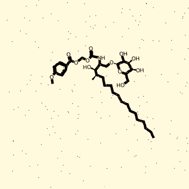 CCCCCCCCCCCCCC[C@@H](C)[C@@H](O)C(CO[C@H]1OC(CO)[C@H](O)[C@H](O)C1O)NC(=O)OCOC(=O)c1ccc(OC)cc1